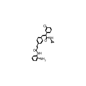 Nc1ccccc1NC(=O)C=Cc1ccc(C=C(C(=O)NC2CC2)c2cccc(Cl)c2)cc1